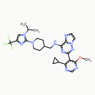 COc1ncnc(C2CC2)c1-c1nc(NCC2CCN(c3nc(C(F)(F)F)cn3C(C)C)CC2)c2nccn2n1